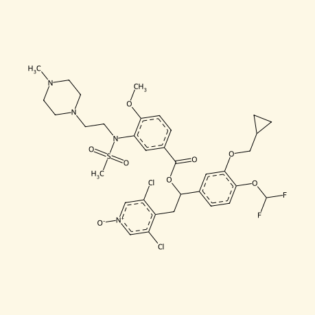 COc1ccc(C(=O)OC(Cc2c(Cl)c[n+]([O-])cc2Cl)c2ccc(OC(F)F)c(OCC3CC3)c2)cc1N(CCN1CCN(C)CC1)S(C)(=O)=O